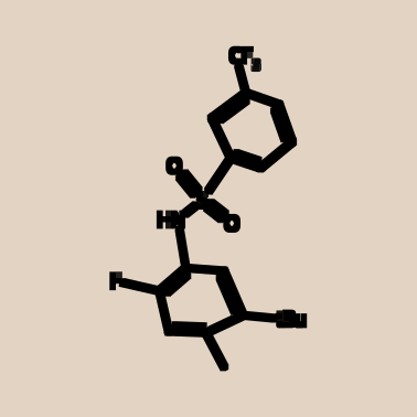 Cc1cc(F)c(NS(=O)(=O)c2cccc(C(F)(F)F)c2)cc1C(C)(C)C